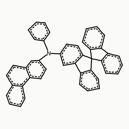 c1ccc(N(c2ccc3c(c2)-c2ccccc2C32c3ccccc3-c3ccccc32)c2ccc3c(ccc4ccccc43)c2)cc1